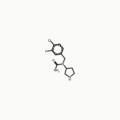 NC(=O)N(Cc1ccc(Cl)c(F)c1)C1CCNC1